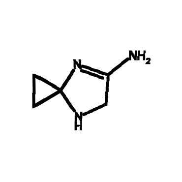 NC1=NC2(CC2)NC1